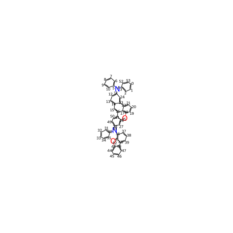 c1ccc(N(c2ccccc2)c2ccc3cc4c5c(cccc5c3c2)Oc2cc(N(c3ccccc3)c3cccc5c3oc3ccccc35)ccc2-4)cc1